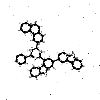 c1ccc(C2=NC(c3cc(-c4ccc5oc6ccccc6c5c4)cc4oc5ccccc5c34)=NC(c3ccc4ccc5ccccc5c4c3)N2)cc1